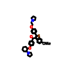 COc1ccc2c(C(=O)c3ccc(O[C@H]4CCCC[C@@H]4N4CCCC4)cc3)c(-c3ccc(OCCN4CCCC4)cc3)sc2c1